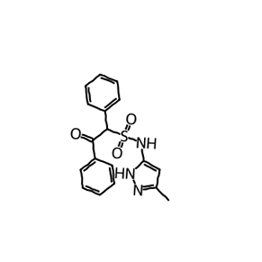 Cc1cc(NS(=O)(=O)C(C(=O)c2ccccc2)c2ccccc2)[nH]n1